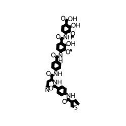 COc1c(NC(=O)c2ccc(NC(=O)c3ccc(NC(=O)C(CC#N)NC(=O)c4ccc(NC(=O)c5ccsc5)cc4)cc3)c(OC)c2O)ccc(C(=O)O)c1O